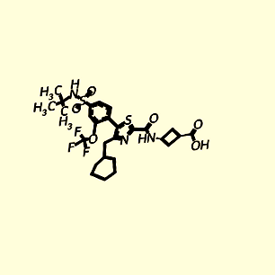 CC(C)(C)NS(=O)(=O)c1ccc(-c2sc(C(=O)N[C@H]3C[C@H](C(=O)O)C3)nc2CC2CCCCC2)c(OC(F)(F)F)c1